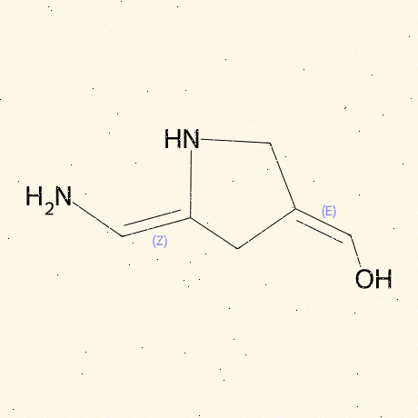 N/C=C1/C/C(=C\O)CN1